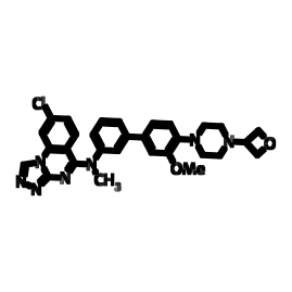 COc1cc(-c2cccc(N(C)c3nc4nncn4c4cc(Cl)ccc34)c2)ccc1N1CCN(C2COC2)CC1